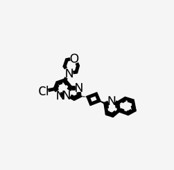 Clc1cc(N2CCOCC2)c2nc([C@H]3C[C@H](c4ccc5ccccc5n4)C3)cn2n1